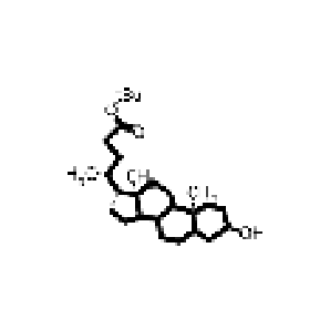 C[C@H](CCC(=O)OC(C)(C)C)[C@H]1CCC2C3CCC4C[C@H](O)CC[C@]4(C)C3CC[C@@]21C